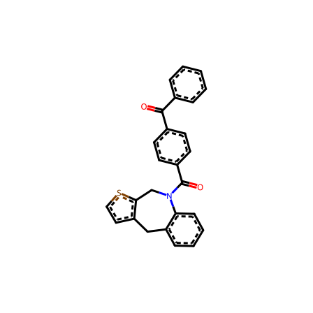 O=C(c1ccccc1)c1ccc(C(=O)N2Cc3sccc3Cc3ccccc32)cc1